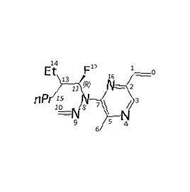 C=Cc1cnc(C)c(N(N=C)[C@H](F)C(CC)CCC)n1